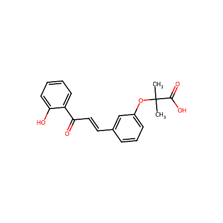 CC(C)(Oc1cccc(/C=C/C(=O)c2ccccc2O)c1)C(=O)O